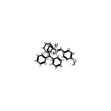 COc1ccc(C=N[C@@H]2C3CCN(CC3)[C@@H]2C(c2ccccc2)c2ccccc2)cc1